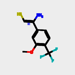 COc1cc(/C(N)=C/S)ccc1C(F)(F)F